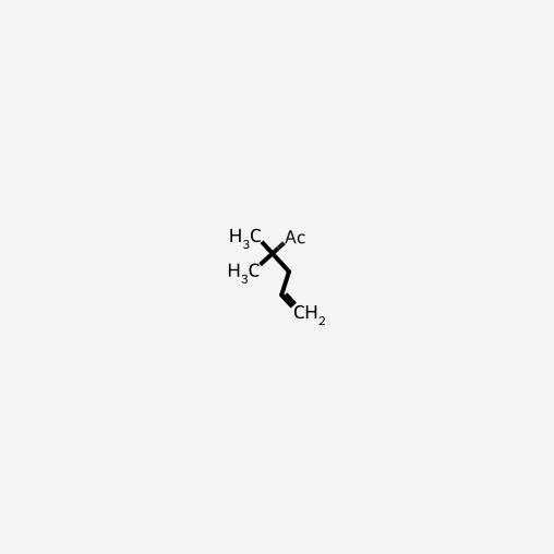 C=CCC(C)(C)C(C)=O